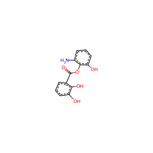 Nc1cccc(O)c1OC(=O)c1cccc(O)c1O